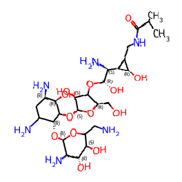 CC(C)C(=O)NCC1C([C@H](N)[C@H](O)OC2[C@@H](CO)O[C@@H](OC3[C@H](O[C@H]4OC(CN)[C@@H](O)[C@H](O)C4N)C(N)C[C@@H](N)[C@H]3O)[C@H]2O)[C@@H]1O